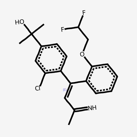 CC(=N)/C=C(/c1ccc(C(C)(C)O)cc1Cl)c1ccccc1OCC(F)F